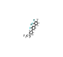 C=C(c1ccc(-c2ccc(-c3ccc(C)c(F)c3F)c(F)c2F)cc1)C(F)(F)F